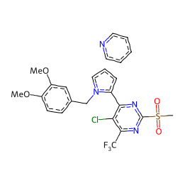 COc1ccc(Cn2cccc2-c2nc(S(C)(=O)=O)nc(C(F)(F)F)c2Cl)cc1OC.c1ccncc1